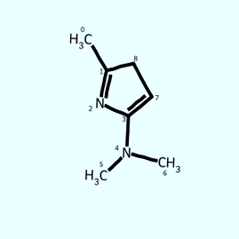 CC1=NC(N(C)C)=CC1